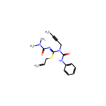 C=CCSC(=NC(=O)N(C)C)N(CC#CC)C(=O)Nc1ccccc1